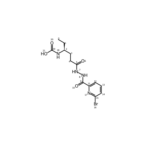 CC[C@@H](CCC(=O)NNC(=O)c1cccc(Br)n1)NC(=O)O